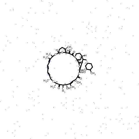 CO[C@@H]1C[C@H](CC2[C@H]3CCN4C(=O)C(=O)[C@]5(O)O[C@@H](CC[C@H]5C)CC(C)/C(C)=C/C=C/C=C/[C@@H](C)C[C@@H](C)C(=O)C(C)[C@H](O)/C(C)=C/[C@@H](C)C(=O)C[C@@H]2OC(=O)[C@@H]4C3)CCC1C